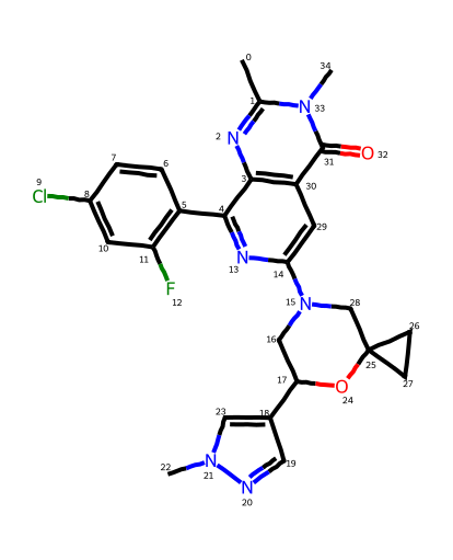 Cc1nc2c(-c3ccc(Cl)cc3F)nc(N3CC(c4cnn(C)c4)OC4(CC4)C3)cc2c(=O)n1C